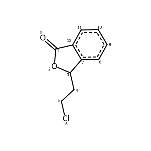 O=C1OC(CCCl)c2ccccc21